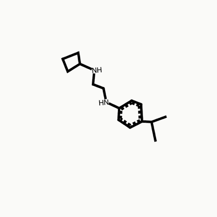 CC(C)c1ccc(NCCNC2CCC2)cc1